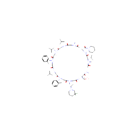 CC(C)C[C@@H]1NC(=O)[C@H](C)N(C)C(=O)C[C@@H](C(=O)N2CCCCC2)NC(=O)[C@H](C(C)C)N(C)C(=O)CN(C)C(=O)[C@H]([C@@H](C)O)NC(=O)[C@H](CCN2CCCC(F)(F)C2)N(C)C(=O)[C@H](Cc2ccccc2)N(C)C(=O)[C@H](CC(C)C)NC(=O)[C@H](Cc2ccccc2)N(C)C(=O)[C@H](CC(C)C)N(C)C1=O